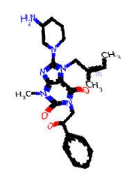 C/C=C(/C)Cn1c(N2CCCC(N)C2)nc2c1c(=O)n(CC(=O)c1ccccc1)c(=O)n2C